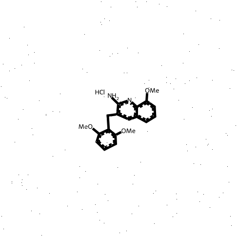 COc1cccc(OC)c1Cc1cc2cccc(OC)c2nc1N.Cl